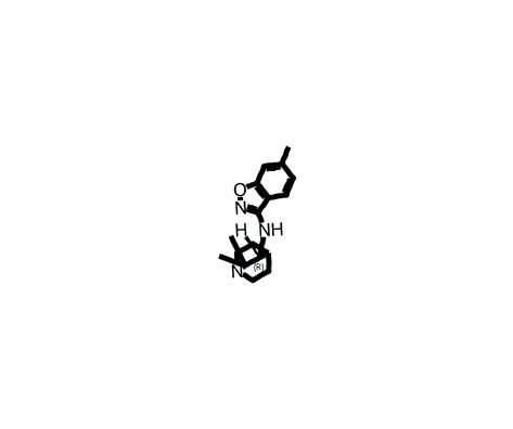 Cc1ccc2c(N[C@@H]3C4CCN(CC4)C3(C)C)noc2c1